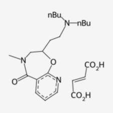 CCCCN(CCCC)CCC1CN(C)C(=O)c2cccnc2O1.O=C(O)C=CC(=O)O